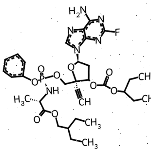 C#C[C@]1(CO[P@@](=O)(N[C@@H](C)C(=O)OCC(CC)CC)Oc2ccccc2)O[C@@H](n2cnc3c(N)nc(F)nc32)C[C@@H]1OC(=O)OC(CC)CC